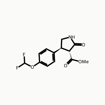 COC(=O)[C@H]1C(=O)NC[C@@H]1c1ccc(OC(F)F)cc1